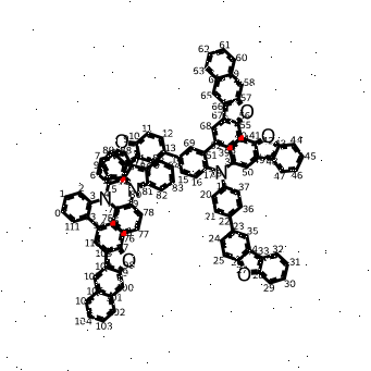 c1ccc(N(c2ccc3oc4ccc(-c5ccc(N(c6ccc(-c7ccc8oc9ccccc9c8c7)cc6)c6ccc7oc8ccccc8c7c6)c(-c6ccc7oc8cc9ccccc9cc8c7c6)c5)cc4c3c2)c2ccccc2-n2c3ccccc3c3ccccc32)c(-c2ccc3oc4cc5ccccc5cc4c3c2)c1